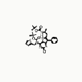 CC(Cc1sc2c(N(Cc3cccs3)C(=O)OC(C)(C)C)nc(Cl)nc2c1-c1ccccc1)NC(=O)OC(C)(C)C